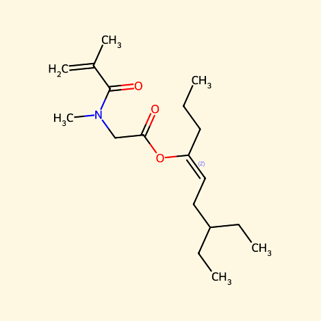 C=C(C)C(=O)N(C)CC(=O)O/C(=C\CC(CC)CC)CCC